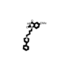 COc1ccc2c(c1)c(=O)[nH]c(=O)n2CCCCN1CC=C(c2ccccc2)CC1